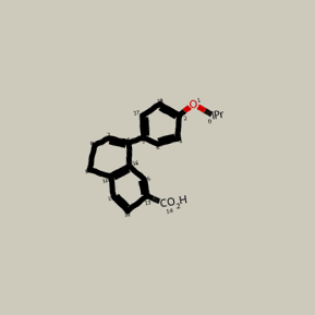 CC(C)Oc1ccc(C2=CCCc3ccc(C(=O)O)cc32)cc1